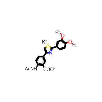 CCOc1ccc(-c2nc(-c3ccc(NC(C)=O)c(C(=O)[O-])c3)cs2)cc1OCC.[K+]